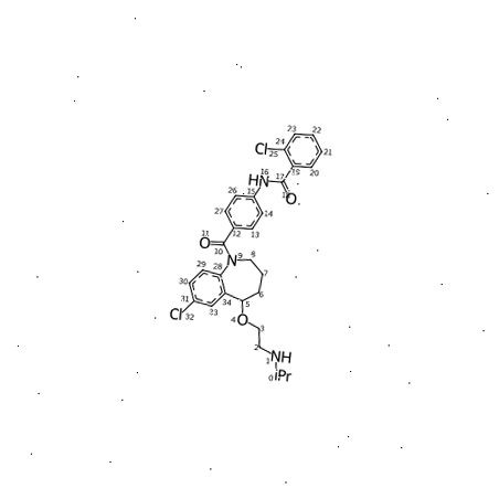 CC(C)NCCOC1CCCN(C(=O)c2ccc(NC(=O)c3ccccc3Cl)cc2)c2ccc(Cl)cc21